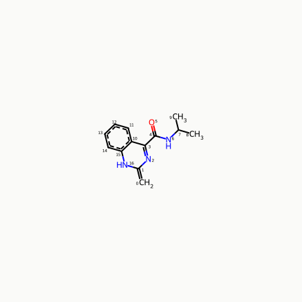 C=C1N=C(C(=O)NC(C)C)c2ccccc2N1